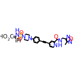 Cc1nonc1CNC(=O)c1cc(C#Cc2ccc(N3CCN(S(=O)(=O)N[C@@H](C(=O)O)C(C)C)CC3)cc2)ccn1